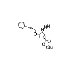 CC(C)(C)OC(=O)N1CC(N=[N+]=[N-])[C@@H](OCC#Cc2ccccc2)C1